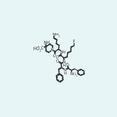 NCCCCC(NC(=O)C(CCCCCF)NC(=O)C(Cc1ccccc1)NC(=O)C(N)Cc1ccccc1)C(=O)N1CCC(N)(C(=O)O)CC1